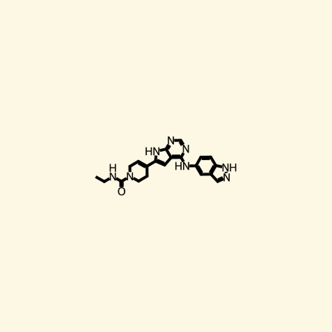 CCNC(=O)N1CC=C(c2cc3c(Nc4ccc5[nH]ncc5c4)ncnc3[nH]2)CC1